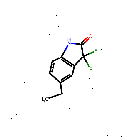 CCc1ccc2c(c1)C(F)(F)C(=O)N2